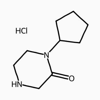 Cl.O=C1CNCCN1C1CCCC1